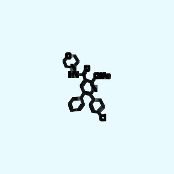 COc1nc(-c2ccc(Cl)cc2)c(-c2ccccc2)cc1C(=O)NN1CCOCC1